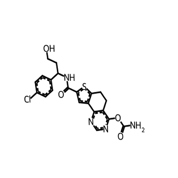 NC(=O)Oc1ncnc2c1CCc1sc(C(=O)NC(CCO)c3ccc(Cl)cc3)cc1-2